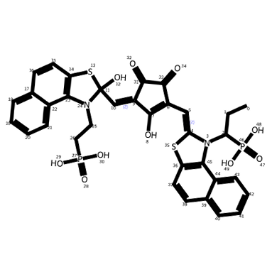 CCC(N1/C(=C/C2=C(O)C(=C/C3(O)Sc4ccc5ccccc5c4N3CCP(=O)(O)O)/C(=O)C2=O)Sc2ccc3ccccc3c21)P(=O)(O)O